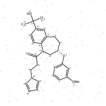 COc1cccc(O[C@H]2CCc3cc(C(O)(C(F)(F)F)C(F)(F)F)ccc3N(C(=O)CCn3ccnc3)C2)c1